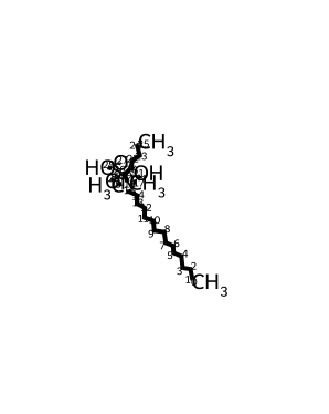 CCCCCCCCCCCCCCCC[N+](C)(C)C(C(O)CCCC)S(=O)(=O)O